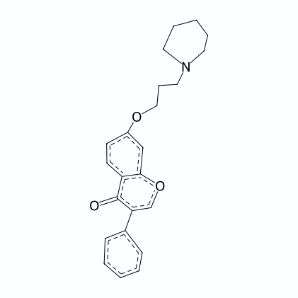 O=c1c(-c2ccccc2)coc2cc(OCCCN3CCCCC3)ccc12